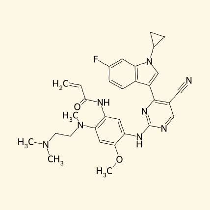 C=CC(=O)Nc1cc(Nc2ncc(C#N)c(-c3cn(C4CC4)c4cc(F)ccc34)n2)c(OC)cc1N(C)CCN(C)C